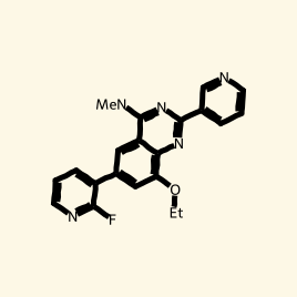 CCOc1cc(-c2cccnc2F)cc2c(NC)nc(-c3cccnc3)nc12